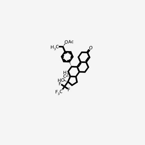 CC(=O)O[C@@H](C)c1ccc([C@H]2C[C@@]3(C)C(CC[C@@]3(O)C(F)(F)C(F)(F)F)C3CCC4=CC(=O)CCC4=C32)cc1